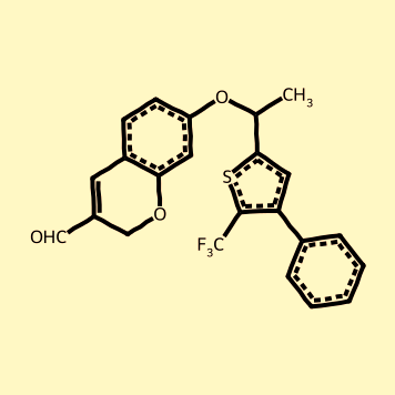 CC(Oc1ccc2c(c1)OCC(C=O)=C2)c1cc(-c2ccccc2)c(C(F)(F)F)s1